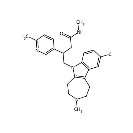 CNC(=O)CC(Cn1c2c(c3cc(Cl)ccc31)CCN(C)CC2)c1ccc(C)nc1